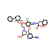 CC1(C)C(c2ccccc2)=CC=CC1(COc1cc(OCc2cncc(C#N)c2)c(CNC(Cc2ccccc2)C(=O)O)cc1Cl)OCCCN1CC[C@@H](O)C1